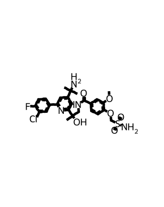 COc1cc(C(=O)NCC(C)(O)c2cc(C(C)(C)N)cc(-c3ccc(F)c(Cl)c3)n2)ccc1OCS(N)(=O)=O